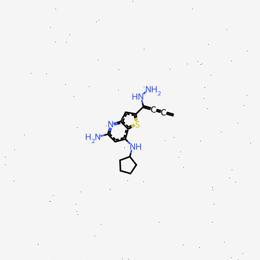 C=C=C=C(NN)c1cc2nc(N)cc(NC3CCCC3)c2s1